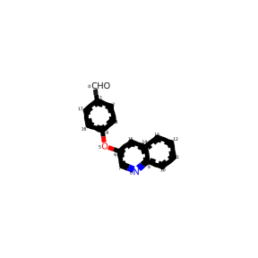 O=Cc1ccc(Oc2cnc3ccccc3c2)cc1